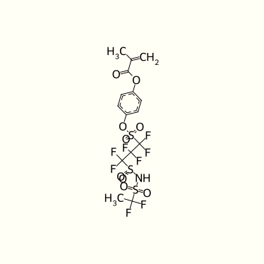 C=C(C)C(=O)Oc1ccc(OS(=O)(=O)C(F)(F)C(F)(F)C(F)(F)S(=O)(=O)NS(=O)(=O)C(C)(F)F)cc1